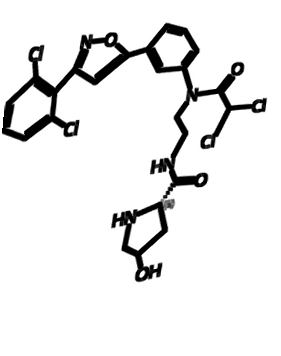 O=C(NCCN(C(=O)C(Cl)Cl)c1cccc(-c2cc(-c3c(Cl)cccc3Cl)no2)c1)[C@@H]1CC(O)CN1